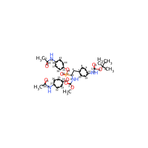 COC(=O)NC(Cc1ccc(NC(=O)OC(C)(C)C)cc1)P(=O)(Oc1ccc(NC(C)=O)cc1)Oc1ccc(NC(C)=O)cc1